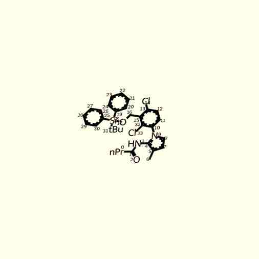 CCCC(=O)Nc1c(C)ccn1-c1ccc(Cl)c(CO[Si](c2ccccc2)(c2ccccc2)C(C)(C)C)c1Cl